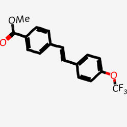 COC(=O)c1ccc(C=Cc2ccc(OC(F)(F)F)cc2)cc1